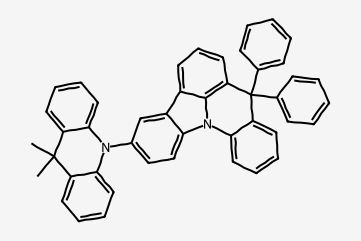 CC1(C)c2ccccc2N(c2ccc3c(c2)c2cccc4c2n3-c2ccccc2C4(c2ccccc2)c2ccccc2)c2ccccc21